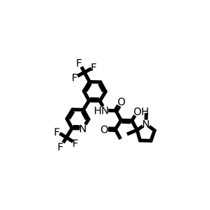 CC(=O)/C(C(=O)Nc1ccc(C(F)(F)F)cc1-c1ccc(C(F)(F)F)nc1)=C(/O)C1(C)CCCN1C